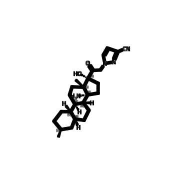 C[C@H]1CC[C@H]2[C@H](CC[C@@H]3[C@@H]2CC[C@@]2(C)[C@@]3(N)CC[C@]2(O)C(=O)Cn2ccc(C#N)n2)C1